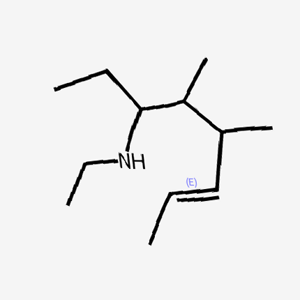 C/C=C/C(C)C(C)C(CC)NCC